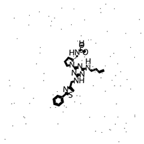 C=CCCNc1nc(NCc2csc(-c3ccccc3)n2)nc(N2CCC[C@@H]2CN[SH](=O)=O)n1